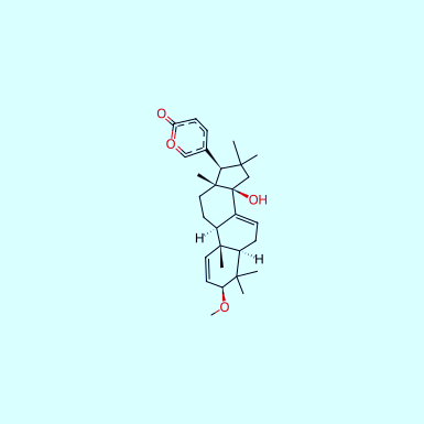 CO[C@H]1C=C[C@]2(C)[C@H]3CC[C@]4(C)[C@@H](c5ccc(=O)oc5)C(C)(C)C[C@]4(O)C3=CC[C@H]2C1(C)C